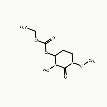 CCOC(=O)OC1CCN(OC)C(=O)N1O